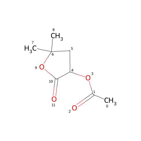 CC(=O)OC1CC(C)(C)OC1=O